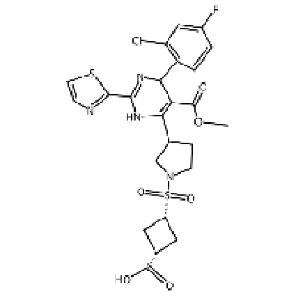 COC(=O)C1=C(C2CCN(S(=O)(=O)[C@H]3C[C@@H](C(=O)O)C3)C2)NC(c2nccs2)=NC1c1ccc(F)cc1Cl